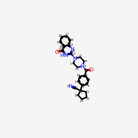 N#CC1(c2ccc(C(=O)N3CCN(c4nc5ccccc5c(=O)[nH]4)CC3)cc2)CCCC1